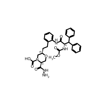 COC(=O)N[C@H](C(=O)Nc1ccccc1CC[C@@H]1CN(C(=O)O)[C@H](C(=O)NN)CO1)C(c1ccccc1)c1ccccc1